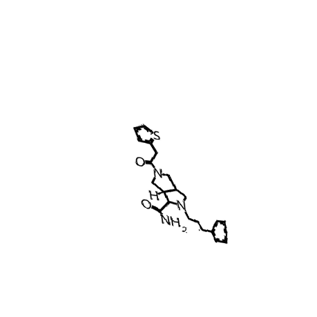 NC(=O)C1[C@@H]2CN(C(=O)Cc3cccs3)CC2CN1CC[CH]c1ccccc1